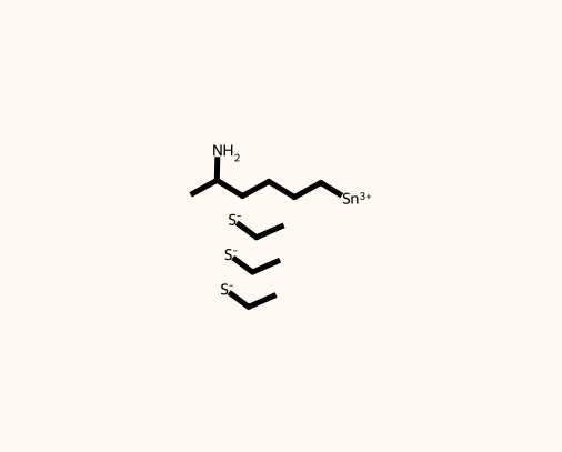 CC(N)CCC[CH2][Sn+3].CC[S-].CC[S-].CC[S-]